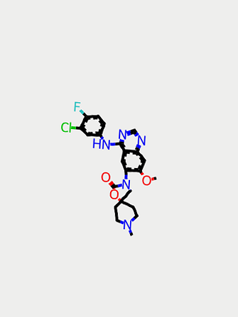 COc1cc2ncnc(Nc3ccc(F)c(Cl)c3)c2cc1N1CC2(CCN(C)CC2)OC1=O